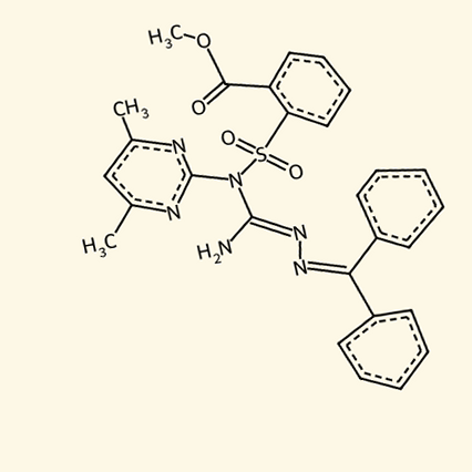 COC(=O)c1ccccc1S(=O)(=O)N(C(N)=NN=C(c1ccccc1)c1ccccc1)c1nc(C)cc(C)n1